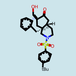 CC(C)(C)c1ccc(S(=O)(=O)N2CC[C@H]3CC(=O)/C(=C\O)C[C@]3(Cc3ccccc3)C2)cc1